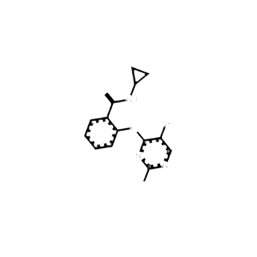 O=C(NC1CC1)c1ccccc1Oc1nc(Cl)ncc1Br